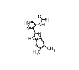 CCC(=O)Nc1c[nH]nc1-c1nc2cc(C)c(C)cc2[nH]1